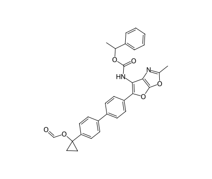 Cc1nc2c(NC(=O)OC(C)c3ccccc3)c(-c3ccc(-c4ccc(C5(OC=O)CC5)cc4)cc3)oc2o1